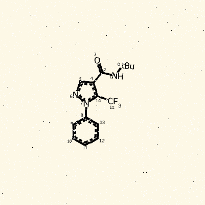 CC(C)(C)NC(=O)c1cnn(-c2ccccc2)c1C(F)(F)F